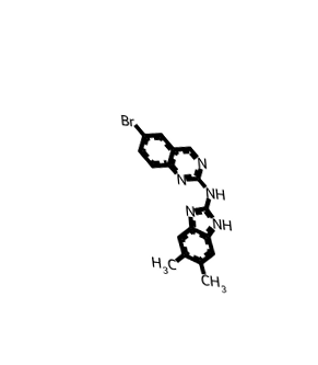 Cc1cc2nc(Nc3ncc4cc(Br)ccc4n3)[nH]c2cc1C